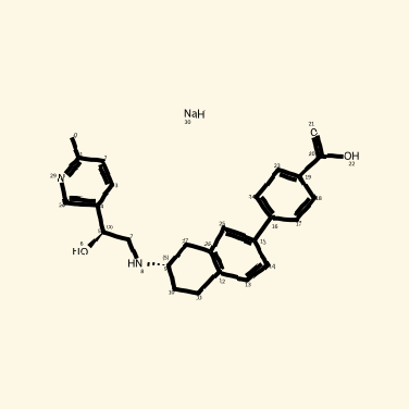 Cc1ccc([C@H](O)CN[C@H]2CCc3ccc(-c4ccc(C(=O)O)cc4)cc3C2)cn1.[NaH]